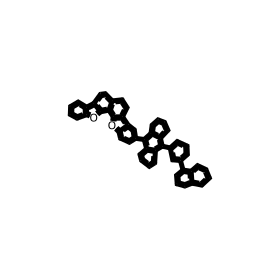 c1cc(-c2cccc3ccccc23)cc(-c2c3ccccc3c(-c3ccc4oc5c(ccc6ccc7c8ccccc8oc7c65)c4c3)c3ccccc23)c1